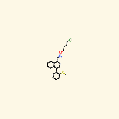 CSc1ccccc1-c1ccc(C=NOCCCCCl)c2ccccc12